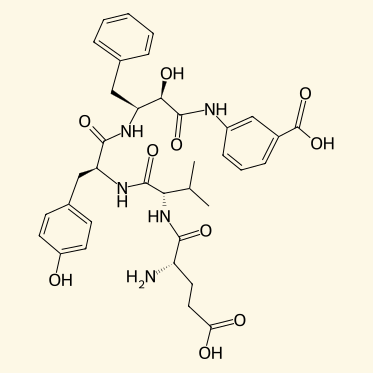 CC(C)[C@H](NC(=O)[C@@H](N)CCC(=O)O)C(=O)N[C@@H](Cc1ccc(O)cc1)C(=O)N[C@@H](Cc1ccccc1)[C@@H](O)C(=O)Nc1cccc(C(=O)O)c1